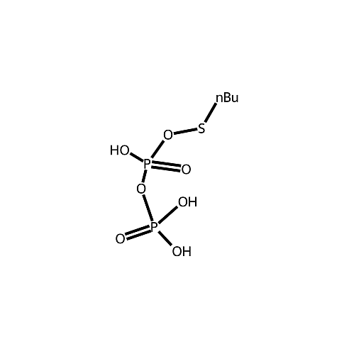 CCCCSOP(=O)(O)OP(=O)(O)O